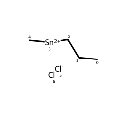 CC[CH2][Sn+2][CH3].[Cl-].[Cl-]